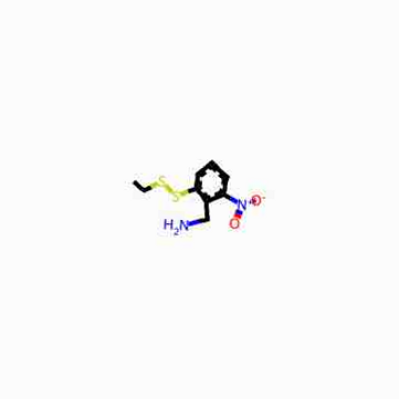 CCSSc1cccc([N+](=O)[O-])c1CN